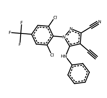 C#Cc1c(C#N)nn(-c2c(Cl)cc(C(F)(F)F)cc2Cl)c1Nc1ccccc1